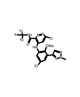 [2H]C([2H])([2H])NC(=O)c1nnc(Cl)cc1Nc1cc(CC)cc(-c2cnn(C)n2)c1OC